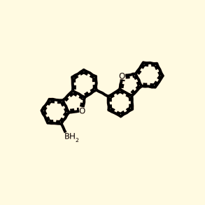 Bc1cccc2c1oc1c(-c3cccc4c3oc3ccccc34)cccc12